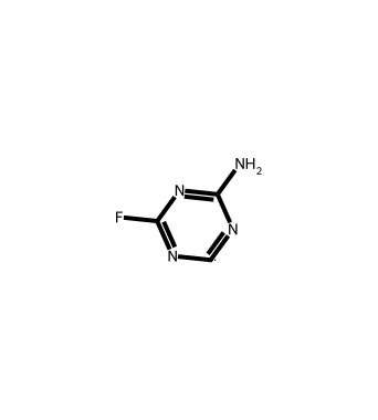 Nc1n[c]nc(F)n1